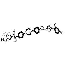 CCC(C)NC(=O)c1ccc(N2CCN(c3ccc(OC[C@@H]4CO[C@@H](c5ccc(Cl)cc5Cl)O4)cc3)CC2)cc1